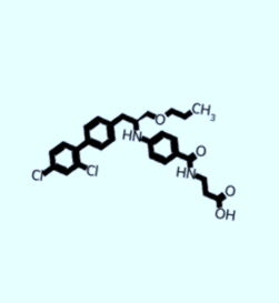 CCCOC[C@H](Cc1ccc(-c2ccc(Cl)cc2Cl)cc1)Nc1ccc(C(=O)NCCC(=O)O)cc1